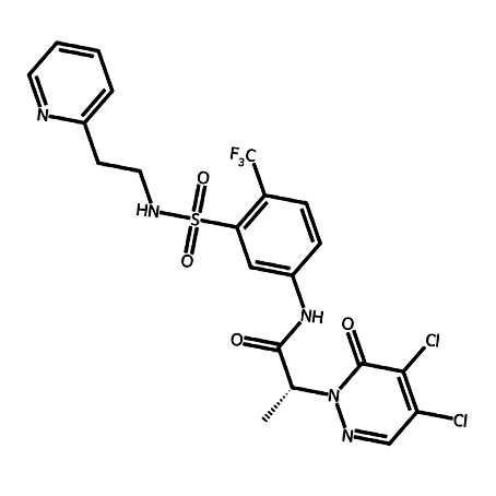 C[C@H](C(=O)Nc1ccc(C(F)(F)F)c(S(=O)(=O)NCCc2ccccn2)c1)n1ncc(Cl)c(Cl)c1=O